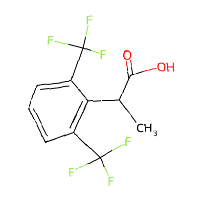 CC(C(=O)O)c1c(C(F)(F)F)cccc1C(F)(F)F